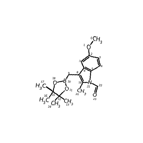 COc1ccc2c(c1)c(CB1OC(C)(C)C(C)(C)O1)c(C)n2C=O